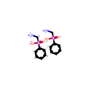 NCP(=O)(O)c1ccccc1.NCP(=O)(O)c1ccccc1